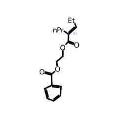 CC/C=C(\CCC)C(=O)OCCOC(=O)c1ccccc1